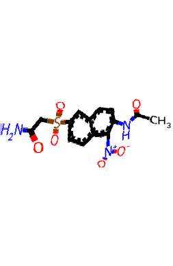 CC(=O)Nc1ccc2cc(S(=O)(=O)CC(N)=O)ccc2c1[N+](=O)[O-]